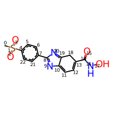 CS(=O)(=O)c1ccc(C2=NC3=CC=C(C(=O)NO)CC3=N2)cc1